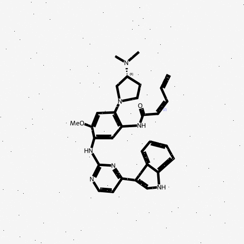 C=C/C=C\C(=O)Nc1cc(Nc2nccc(-c3c[nH]c4ccccc34)n2)c(OC)cc1N1CC[C@@H](N(C)C)C1